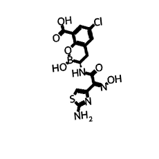 Nc1nc(/C(=N/O)C(=O)N[C@H]2Cc3cc(Cl)cc(C(=O)O)c3OB2O)cs1